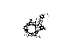 Cc1ccc(NC(=O)N[C@@H](Cc2cc(F)cc(F)c2)C(=O)N[C@@H]2C(=O)N3C[C@H](O)C[C@H]3C(=O)N3CCCC[C@H]3C(=O)N[C@@H](C)C(=O)N3C[C@H](C)C[C@H]3C(=O)O[C@H]2C)cn1